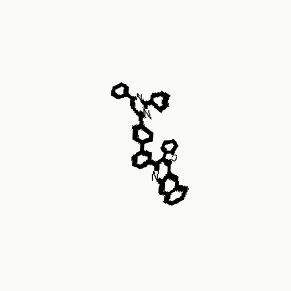 c1ccc(-c2cc(-c3ccc(-c4cccc(-c5nc6cc7ccccc7cc6c6oc7ccccc7c56)c4)cc3)nc(-c3ccccc3)n2)cc1